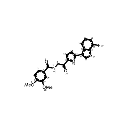 COc1ccc(C(=O)NCC(=O)c2ccc(-c3csc4c(F)cccc34)o2)cc1OC